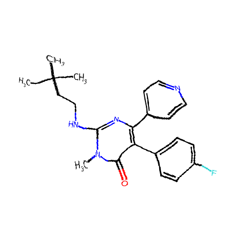 Cn1c(NCCC(C)(C)C)nc(-c2ccncc2)c(-c2ccc(F)cc2)c1=O